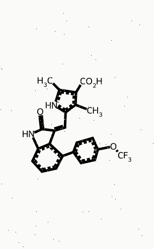 Cc1[nH]c(/C=C2\C(=O)Nc3cccc(-c4ccc(OC(F)(F)F)cc4)c32)c(C)c1C(=O)O